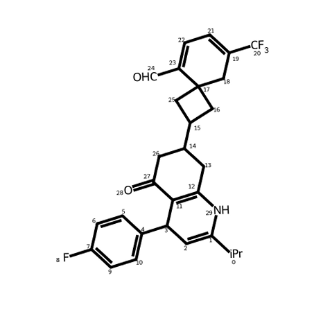 CC(C)C1=CC(c2ccc(F)cc2)C2=C(CC(C3CC4(CC(C(F)(F)F)=CC=C4C=O)C3)CC2=O)N1